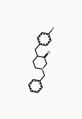 O=C1CN(Cc2ccccc2)CCC1Cc1ccc(F)cc1